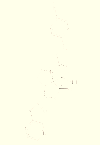 NC(=O)C12C(=O)CN(S(=O)(=O)Cc3cccnc3)C1CCN2C(=O)[CH]Cc1ccc(F)cc1